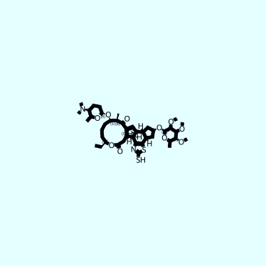 CC[C@H]1CCC[C@H](O[C@H]2CC[C@H](N(C)C)C(C)O2)[C@@H](C)C(=O)C2=C[C@H]3[C@@H]4C[C@H](O[C@@H]5OC(C)[C@H](OC)C(OC)C5OC)C[C@H]4c4sc(S)nc4[C@H]3[C@@H]2CC(=O)O1